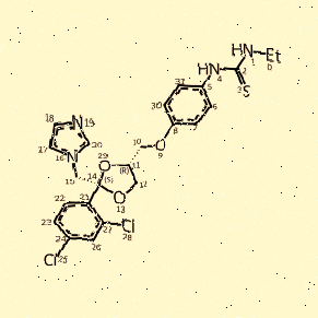 CCNC(=S)Nc1ccc(OC[C@@H]2CO[C@@](Cn3ccnc3)(c3ccc(Cl)cc3Cl)O2)cc1